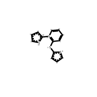 C1=CC(Sc2cccs2)=S(c2cccs2)C=C1